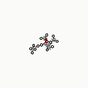 CC\C=C/C(=C(\N=C(/N=C(\NC)c1ccccc1)c1ccccc1)c1nc(-c2ccccc2)cc(-c2ccc(-c3ccc(N4c5ccccc5B5c6ccccc6N(c6ccccc6)c6cccc4c65)cc3)cc2)n1)n1c2ccc(-c3nc(-c4ccccc4)nc(-c4ccccc4)n3)cc2c2cc(-c3nc(-c4ccccc4)nc(-c4ccccc4)n3)ccc21